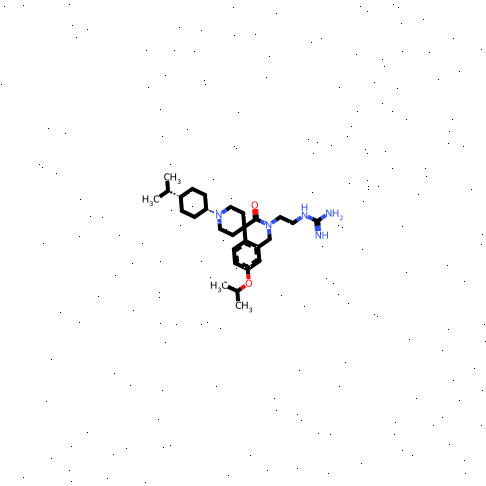 CC(C)Oc1ccc2c(c1)CN(CCNC(=N)N)C(=O)C21CCN([C@H]2CC[C@@H](C(C)C)CC2)CC1